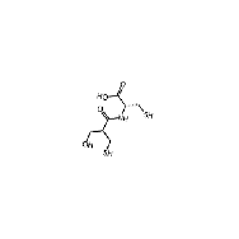 O=C(N[C@@H](CS)C(=O)O)C(CO)CS